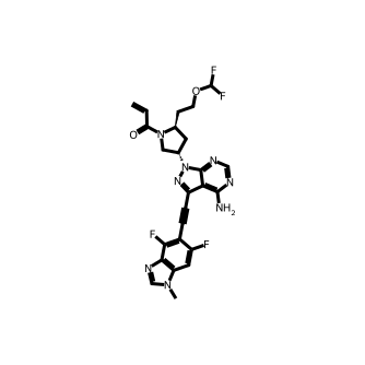 C=CC(=O)N1C[C@@H](n2nc(C#Cc3c(F)cc4c(ncn4C)c3F)c3c(N)ncnc32)C[C@@H]1CCOC(F)F